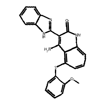 COc1ccccc1Sc1cccc2[nH]c(=O)c(-c3nc4ccccc4[nH]3)c(N)c12